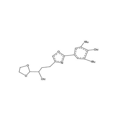 CC(C)(C)c1cc(-c2nc(CCC(O)C3OCCO3)co2)cc(C(C)(C)C)c1O